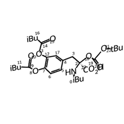 CCC(C)N[C@@](Cc1ccc(OC(=O)C(C)CC)c(OC(=O)C(C)CC)c1)(OC(=O)OC(C)(C)C)C(=O)O